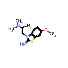 CC(Cn1c(=N)sc2cc(OC(F)(F)F)ccc21)N(C)C